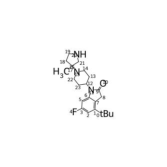 CC(C)(C)c1cc(F)cc2c1CC(=O)N2C1CCN(C2(C)CCNC2)CC1